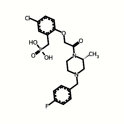 C[C@@H]1CN(Cc2ccc(F)cc2)CCN1C(=O)COc1ccc(Cl)cc1CP(=O)(O)O